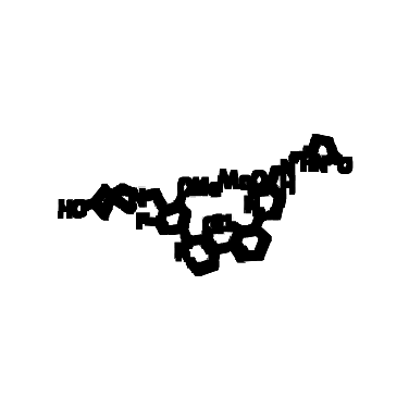 COc1cc(-c2nccc(-c3cccc(-c4ccc(CNC[C@H]5CCC(=O)N5)c(OC)n4)c3Cl)c2Cl)cc(F)c1CN1CC2(CC(O)C2)C1